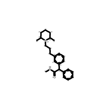 CNC(=O)C(c1ccccc1)c1cccc(CCCN2C(C)CCCC2C)c1